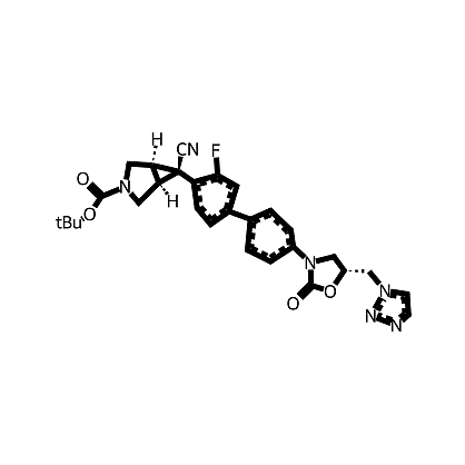 CC(C)(C)OC(=O)N1C[C@@H]2[C@H](C1)[C@@]2(C#N)c1ccc(-c2ccc(N3C[C@H](Cn4ccnn4)OC3=O)cc2)cc1F